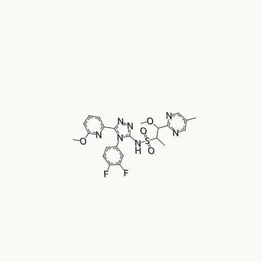 COc1cccc(-c2nnc(NS(=O)(=O)C(C)C(OC)c3ncc(C)cn3)n2-c2ccc(F)c(F)c2)n1